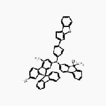 Cc1ccc2c(c1)C1(c3ccccc3-c3ccccc31)c1cc(N(c3ccc(-c4ccc5c(c4)sc4ccccc45)cc3)c3ccc4c(c3)C(C)(C)c3ccccc3-4)cc(C)c1-2